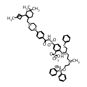 CN(CCO[Si](c1ccccc1)(c1ccccc1)C(C)(C)C)CC[C@H](CSc1ccccc1)Nc1ccc(S(=O)(=O)NC(=O)c2ccc(N3CCN(CC4=C(C56CC(C)(C5)C6)CC(C)(C)CC4)CC3)cc2)cc1S(=O)(=O)C(F)(F)F